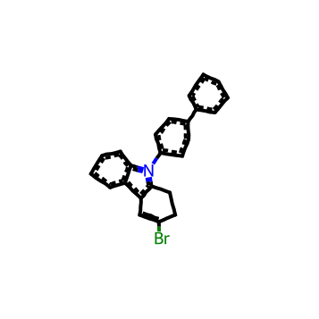 BrC1=Cc2c(n(-c3ccc(-c4ccccc4)cc3)c3ccccc23)CC1